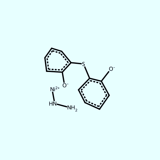 N[NH][Ni+2].[O-]c1ccccc1Sc1ccccc1[O-]